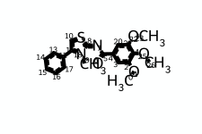 COc1cc(C(=O)/N=c2/scc(-c3ccccc3)n2C)cc(OC)c1OC